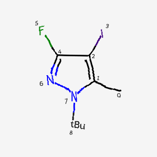 Cc1c(I)c(F)nn1C(C)(C)C